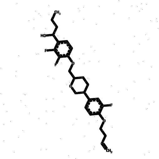 C=CCCOc1ccc(C2CCC(COc3ccc(C(O)CCC)c(F)c3F)OC2)cc1F